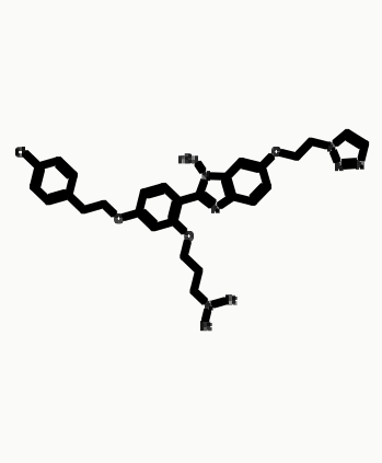 CCCCn1c(-c2ccc(OCCc3ccc(Cl)cc3)cc2OCCCN(CC)CC)nc2ccc(OCCn3ccnn3)cc21